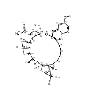 COc1ccc2nc3c(nc2c1)O[C@H]1CN(C(=O)[C@H](C(C)(C)C)NC(=O)O[C@@H]2CC4C([C@H]2CCCCC3)C4(F)F)[C@H](C(N)=O)[C@@H]1C